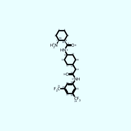 N[C@H]1CCCC[C@H]1C(=O)NC1CCC(CC(=O)Nc2cc(C(F)(F)F)cc(C(F)(F)F)c2)CC1